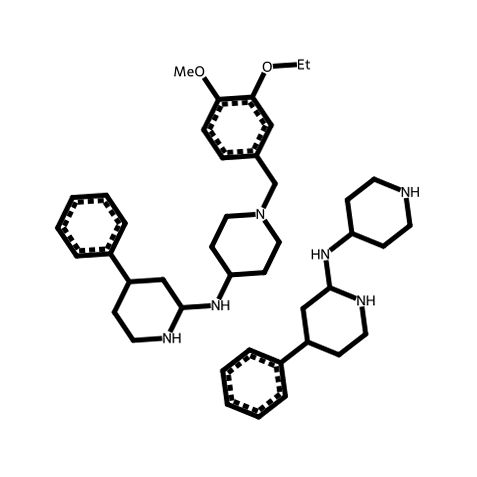 CCOc1cc(CN2CCC(NC3CC(c4ccccc4)CCN3)CC2)ccc1OC.c1ccc(C2CCNC(NC3CCNCC3)C2)cc1